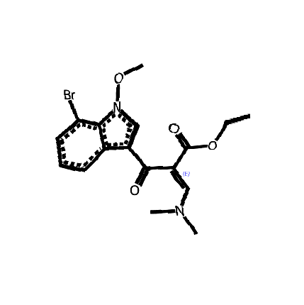 CCOC(=O)/C(=C/N(C)C)C(=O)c1cn(OC)c2c(Br)cccc12